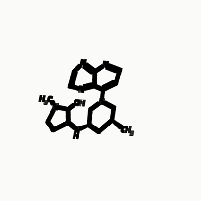 C[C@H]1C[C@@H](NC2CCN(C)C2O)CN(c2ccnc3nccnc23)C1